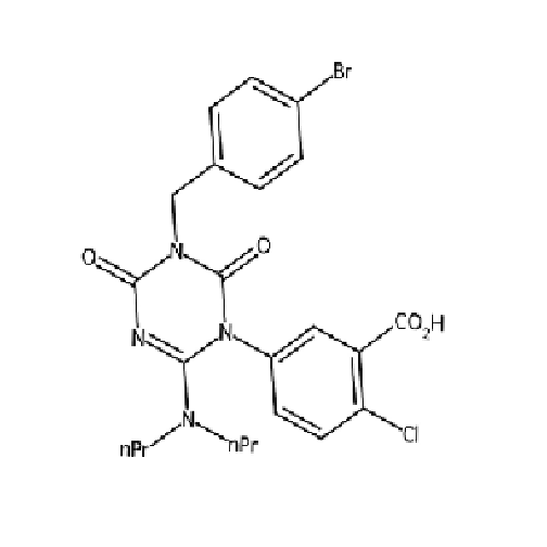 CCCN(CCC)c1nc(=O)n(Cc2ccc(Br)cc2)c(=O)n1-c1ccc(Cl)c(C(=O)O)c1